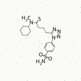 CN(C(=S)CCCc1nnnn1-c1ccc(S(N)(=O)=O)cc1)C1CCCCC1